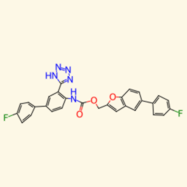 O=C(Nc1ccc(-c2ccc(F)cc2)cc1-c1nnn[nH]1)OCc1cc2cc(-c3ccc(F)cc3)ccc2o1